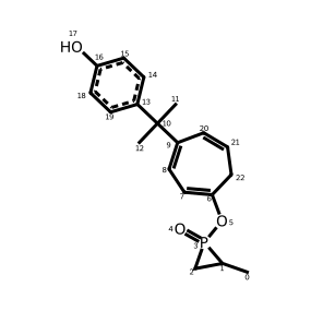 CC1CP1(=O)OC1=CC=C(C(C)(C)c2ccc(O)cc2)C=CC1